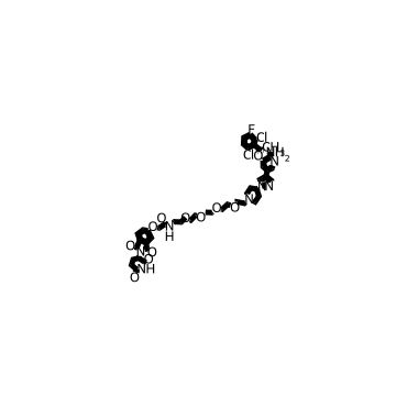 C[C@@H](Oc1cc(-c2cnn(C3CCN(CCOCCOCCOCCOCCNC(=O)COc4ccc5c(c4)C(=O)N(C4CCC(=O)NC4=O)C5=O)CC3)c2)cnc1N)c1c(Cl)ccc(F)c1Cl